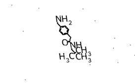 CC(C)(C)CNC(=O)Cc1ccc(CN)cc1